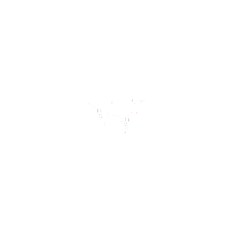 [Co+2].[O]=[Sn]([O-])[Cl].[O]=[Sn]([O-])[Cl]